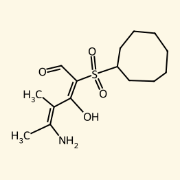 C/C(N)=C(C)/C(O)=C(\C=O)S(=O)(=O)C1CCCCCCC1